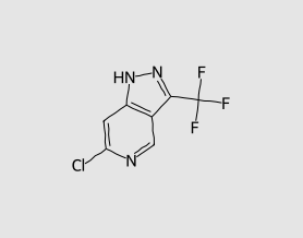 FC(F)(F)c1n[nH]c2cc(Cl)ncc12